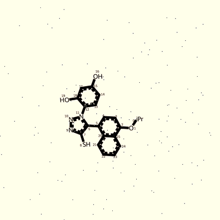 CC(C)Oc1ccc(-c2c(S)nnn2-c2ccc(O)cc2O)c2ccccc12